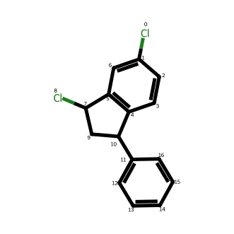 Clc1ccc2c(c1)C(Cl)CC2c1ccccc1